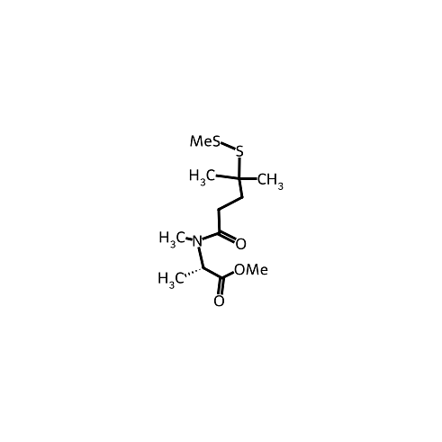 COC(=O)[C@H](C)N(C)C(=O)CCC(C)(C)SSC